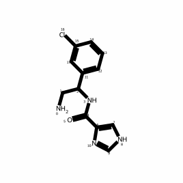 NCC(NC(=O)c1c[nH]cn1)c1cccc(Cl)c1